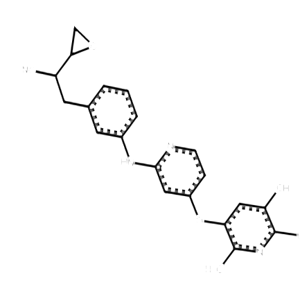 CCc1nc(C)c(Oc2ccnc(Nc3cccc(CC(C#N)C4CO4)c3)c2)cc1C